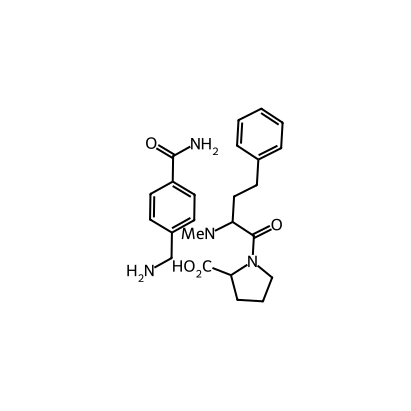 CNC(CCc1ccccc1)C(=O)N1CCCC1C(=O)O.NCc1ccc(C(N)=O)cc1